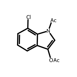 CC(=O)Oc1cn(C(C)=O)c2c(Cl)cccc12